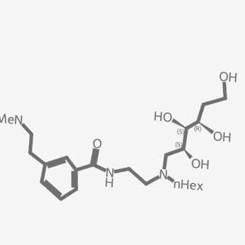 CCCCCCN(CCNC(=O)c1cccc(CCNC)c1)C[C@H](O)[C@@H](O)[C@H](O)CCO